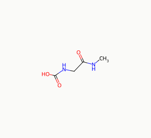 CNC(=O)CNC(=O)O